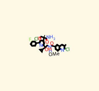 COc1cc(C(=O)NCC(O)(c2cc3c(c(-c4cccc(F)c4Cl)n2)OC[C@]3(C)C(N)=O)C2CC2)cc2cc(C)c(Cl)nc12